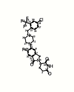 O=C1CCC(N2Cc3cc(N4CCN(Cc5ccc(Cl)cc5C(F)(F)F)CC4)c(F)cc3C2=O)C(=O)N1